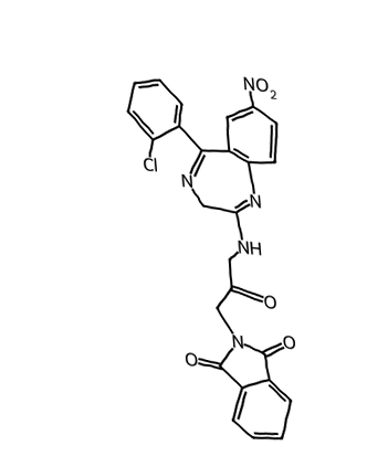 O=C(CNC1=Nc2ccc([N+](=O)[O-])cc2C(c2ccccc2Cl)=NC1)CN1C(=O)c2ccccc2C1=O